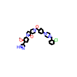 COc1cc(N2CCC3(CCN(C(=O)c4ccc(N5CCN(Cc6ccccc6Cl)CC5)cc4)CC3)C2=O)ccc1-c1cn[nH]c1